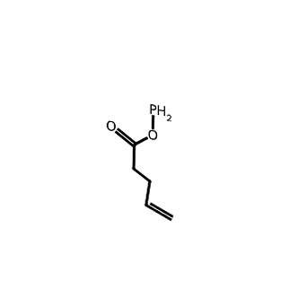 C=CCCC(=O)OP